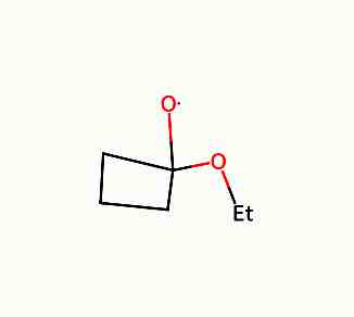 CCOC1([O])CCC1